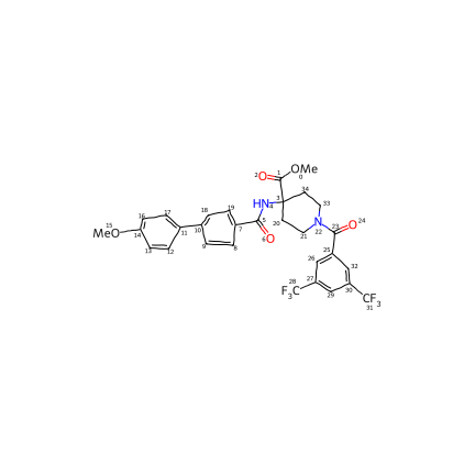 COC(=O)C1(NC(=O)c2ccc(-c3ccc(OC)cc3)cc2)CCN(C(=O)c2cc(C(F)(F)F)cc(C(F)(F)F)c2)CC1